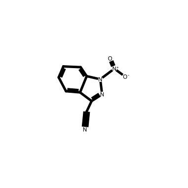 N#Cc1nn([N+](=O)[O-])c2ccccc12